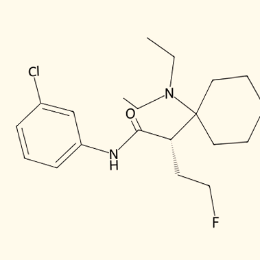 CCN(CC)C1([C@H](CCF)C(=O)Nc2cccc(Cl)c2)CCCCC1